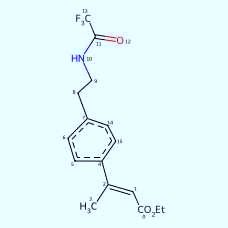 CCOC(=O)C=C(C)c1ccc(CCNC(=O)C(F)(F)F)cc1